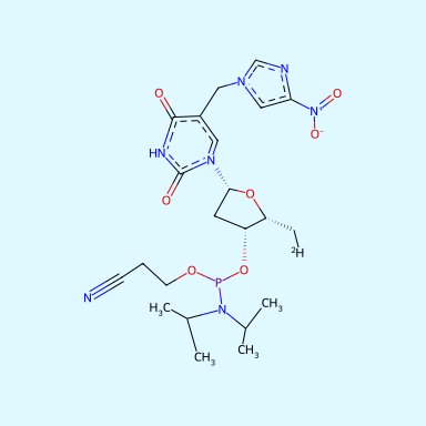 [2H]C[C@H]1O[C@@H](n2cc(Cn3cnc([N+](=O)[O-])c3)c(=O)[nH]c2=O)C[C@H]1OP(OCCC#N)N(C(C)C)C(C)C